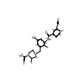 Cc1c(CN2CCN(C(=O)O)C(C)C2)cc(Cl)cc1NC(=O)c1ccnc(C#N)c1